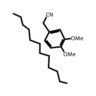 CCCCCCCCCCCC.COc1ccc(CC#N)cc1OC